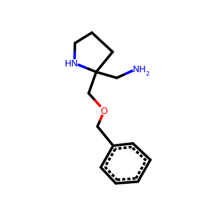 NCC1(COCc2ccccc2)CCCN1